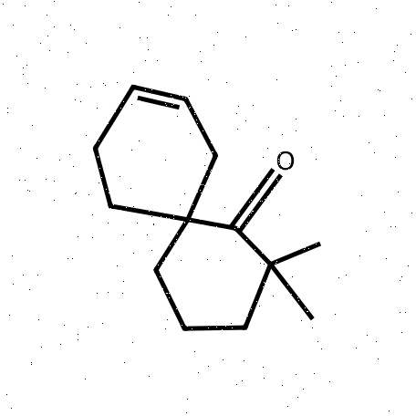 CC1(C)CCCC2(CC=CCC2)C1=O